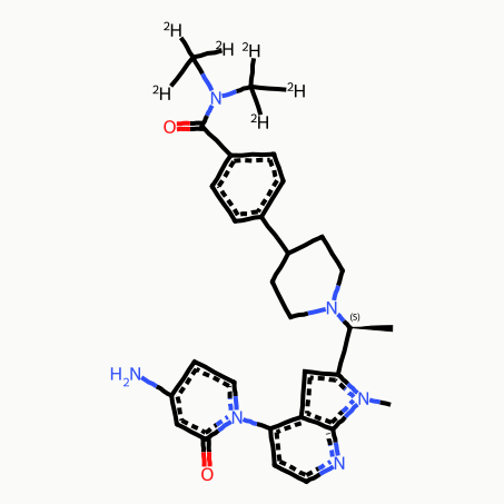 [2H]C([2H])([2H])N(C(=O)c1ccc(C2CCN([C@@H](C)c3cc4c(-n5ccc(N)cc5=O)ccnc4n3C)CC2)cc1)C([2H])([2H])[2H]